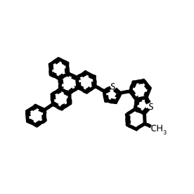 CC1CC=Cc2c1sc1cccc(-c3ccc(-c4ccc5c6ccccc6c6cc(-c7ccccc7)ccc6c5c4)s3)c21